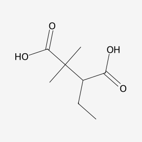 CCC(C(=O)O)C(C)(C)C(=O)O